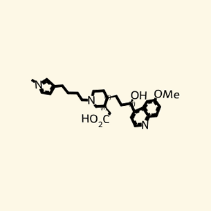 COc1ccc2nccc([C@H](O)CC[C@@H]3CCN(CCCCc4ccn(C)c4)C[C@@H]3CC(=O)O)c2c1